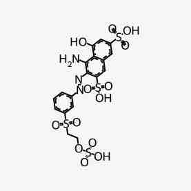 Nc1c(N=Nc2cccc(S(=O)(=O)CCOS(=O)(=O)O)c2)c(S(=O)(=O)O)cc2cc(S(=O)(=O)O)cc(O)c12